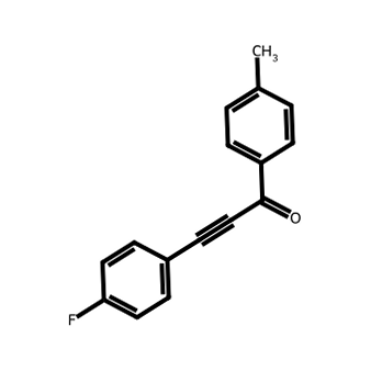 Cc1ccc(C(=O)C#Cc2ccc(F)cc2)cc1